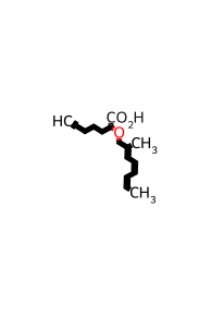 C#CCCCC(OC/C(C)=C/C=C\C=C/C)C(=O)O